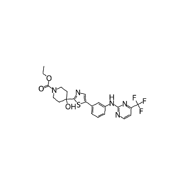 CCOC(=O)N1CCC(O)(c2ncc(-c3cccc(Nc4nccc(C(F)(F)F)n4)c3)s2)CC1